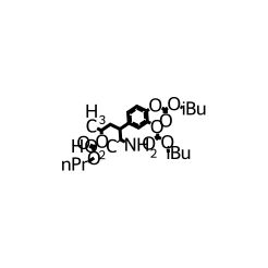 CCCOC(=O)OC(C)CC(c1ccc(OC(=O)OC(C)CC)c(OC(=O)OC(C)CC)c1)[C@H](N)C(=O)O